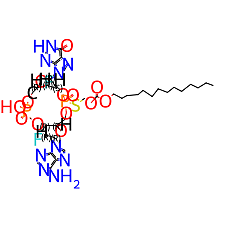 CCCCCCCCCCCCCCOC(=O)OCSP1(=O)OC[C@H]2O[C@@H](n3cnc4c(N)ncnc43)[C@H](F)[C@@H]2OCP(=O)(O)OC[C@H]2O[C@@H](n3cnc4c(=O)[nH]cnc43)[C@H](O1)[C@@H]2F